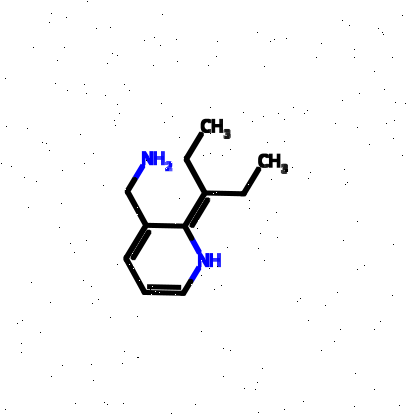 CCC(CC)=C1NC=CC=C1CN